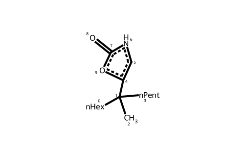 CCCCCCC(C)(CCCCC)c1c[nH]c(=O)o1